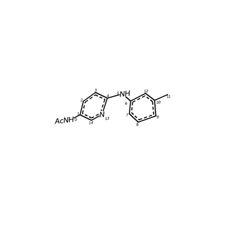 CC(=O)Nc1ccc(Nc2cccc(C)c2)nc1